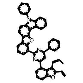 C=Cc1oc2cccc(-c3cc(-c4ccccc4)nc(-c4cccc5c4oc4c5ccc5c4c4ccccc4n5-c4ccccc4)n3)c2c1/C=C\C